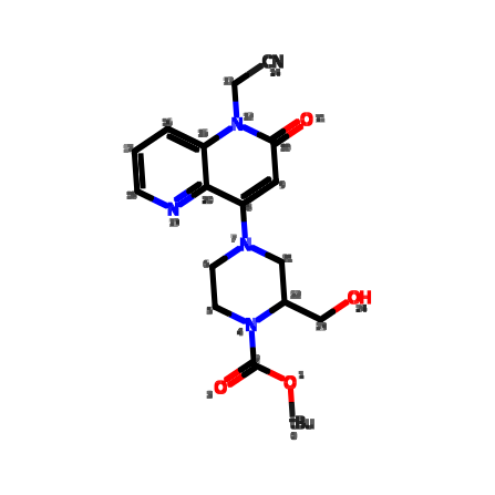 CC(C)(C)OC(=O)N1CCN(c2cc(=O)n(CC#N)c3cccnc23)CC1CO